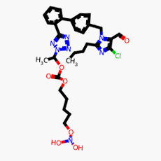 CCCCc1nc(Cl)c(C=O)n1Cc1ccc(-c2ccccc2-c2nnn(C(C)OC(=O)OCCCCCON(O)O)n2)cc1